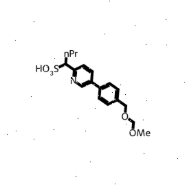 CCCC(c1ccc(-c2ccc(COCOC)cc2)cn1)S(=O)(=O)O